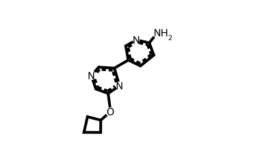 Nc1ccc(-c2cncc(OC3CCC3)n2)cn1